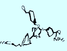 C#CCCCN1CCN(c2ncc(Sc3ccc(C(N)=O)cc3)c(OCc3cccc(C=O)c3)n2)CC1